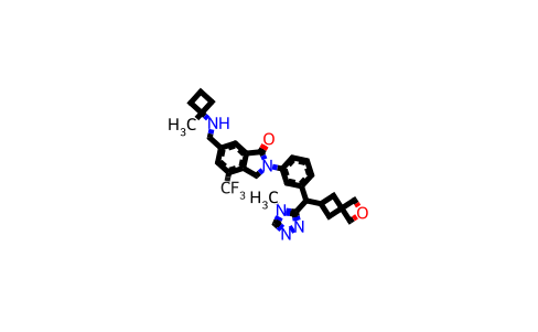 Cn1cnnc1C(c1cccc(N2Cc3c(cc(CNC4(C)CCC4)cc3C(F)(F)F)C2=O)c1)C1CC2(COC2)C1